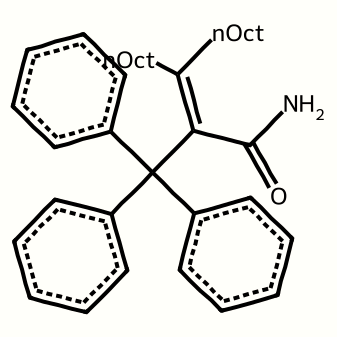 CCCCCCCCC(CCCCCCCC)=C(C(N)=O)C(c1ccccc1)(c1ccccc1)c1ccccc1